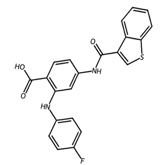 O=C(O)c1ccc(NC(=O)c2csc3ccccc23)cc1Nc1ccc(F)cc1